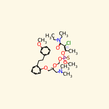 CCN(CC)C(=O)/C(Cl)=C(/C)OP(=S)(OC)OCO[C@H](COc1ccccc1CCc1cccc(OC)c1)CN(C)C